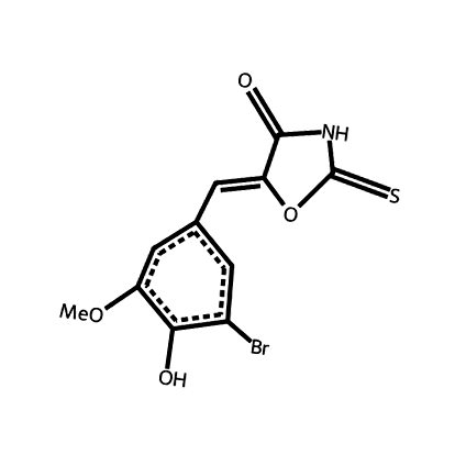 COc1cc(/C=C2\OC(=S)NC2=O)cc(Br)c1O